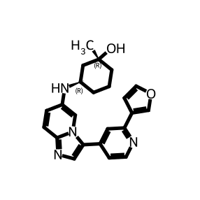 C[C@@]1(O)CCC[C@@H](Nc2ccc3ncc(-c4ccnc(-c5ccoc5)c4)n3c2)C1